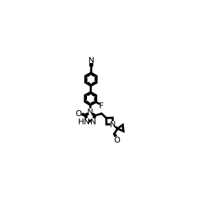 N#Cc1ccc(-c2ccc(-n3c(CC4CN(C5(C=O)CC5)C4)n[nH]c3=O)c(F)c2)cc1